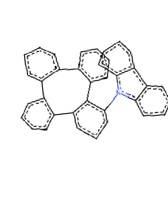 c1ccc2c(c1)-c1ccccc1-c1cccc(-n3c4ccccc4c4ccccc43)c1-c1ccccc1-2